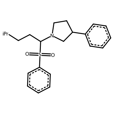 CC(C)CCC(N1CCC(c2ccccc2)C1)S(=O)(=O)c1ccccc1